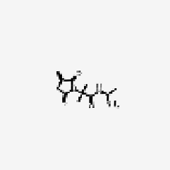 C=C1CC(=O)N(C(C)(C)C(=O)NC(C)N)C1=O